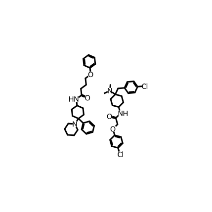 CN(C)C1(Cc2ccc(Cl)cc2)CCC(NC(=O)COc2ccc(Cl)cc2)CC1.O=C(CCCOc1ccccc1)NC1CCC(c2ccccc2)(N2CCCCC2)CC1